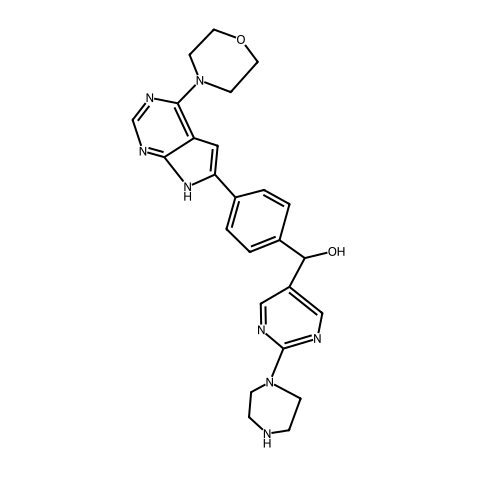 OC(c1ccc(-c2cc3c(N4CCOCC4)ncnc3[nH]2)cc1)c1cnc(N2CCNCC2)nc1